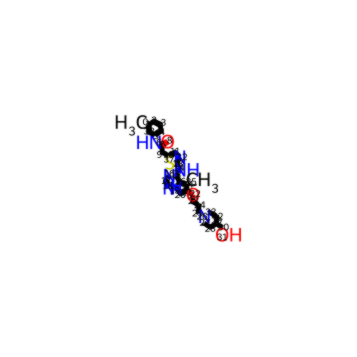 Cc1cccc(NC(=O)Cc2cnc(Nc3ncnn4cc(OCCCN5CCC(CO)CC5)c(C)c34)s2)c1